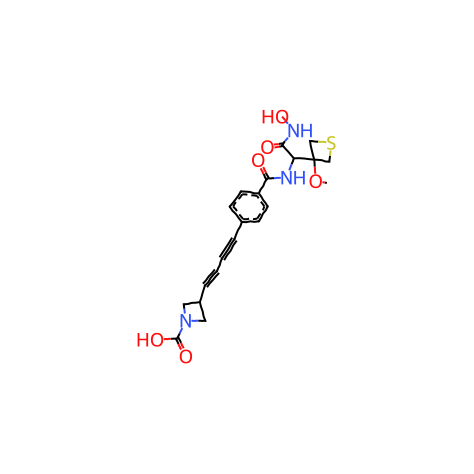 COC1(C(NC(=O)c2ccc(C#CC#CC3CN(C(=O)O)C3)cc2)C(=O)NO)CSC1